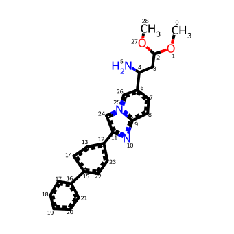 COC(CC(N)c1ccc2nc(-c3ccc(-c4ccccc4)cc3)cn2c1)OC